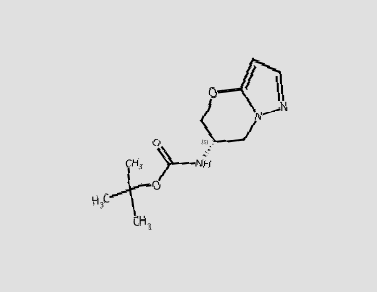 CC(C)(C)OC(=O)N[C@@H]1COc2ccnn2C1